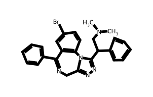 CN(C)CC(c1ccccc1)c1nnc2n1-c1ccc(Br)cc1C(c1ccccc1)=NC2